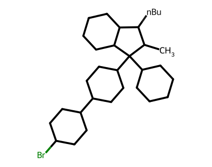 CCCCC1C2CCCCC2C(C2CCCCC2)(C2CCC(C3CCC(Br)CC3)CC2)C1C